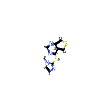 Cn1ccnc1Sc1ncnc2cscc12